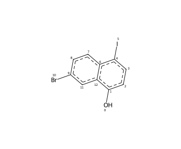 Oc1ccc(I)c2ccc(Br)cc12